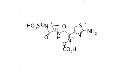 CC1(C)[C@H](NC(=O)/C(=N\OC(=O)O)c2csc(N)n2)C(=O)N1OS(=O)(=O)O